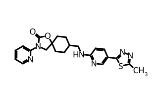 Cc1nnc(-c2ccc(NCC3CCC4(CC3)CN(c3ccccn3)C(=O)O4)nc2)s1